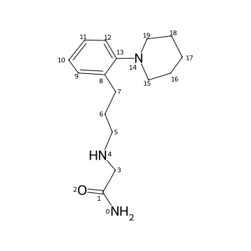 NC(=O)CNCCCc1ccccc1N1CCCCC1